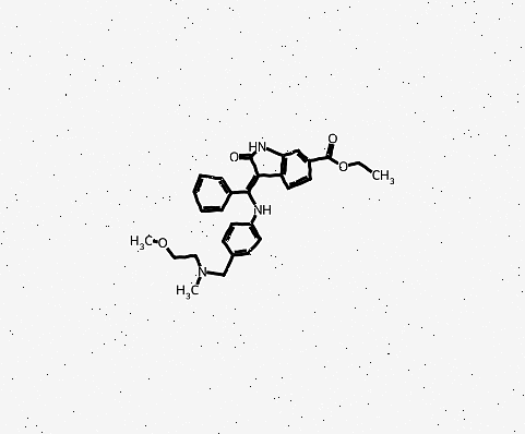 CCOC(=O)c1ccc2c(c1)NC(=O)/C2=C(/Nc1ccc(CN(C)CCOC)cc1)c1ccccc1